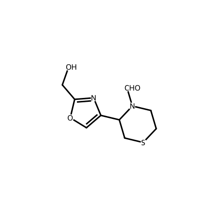 O=CN1CCSCC1c1coc(CO)n1